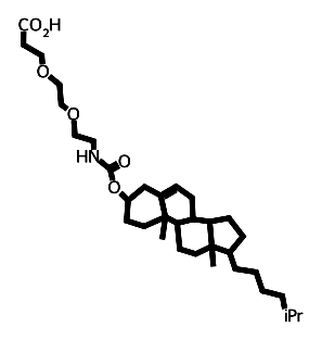 CC(C)CCCCC1CCC2C3CC=C4CC(OC(=O)NCCOCCOCCC(=O)O)CCC4(C)C3CCC12C